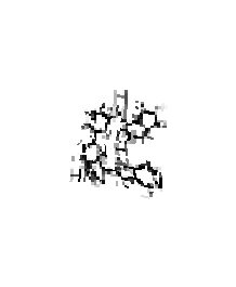 OC(Nc1cncc(-c2ccc3[nH]nc(-c4cc5cnccc5[nH]4)c3n2)c1)C1CCCC1